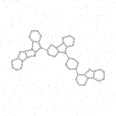 c1ccc2c(c1)oc1c(-c3ccc(-n4c5ccccc5c5cc(-n6c7ccccc7n7c8oc9ccccc9c8nc67)ccc54)cc3)cccc12